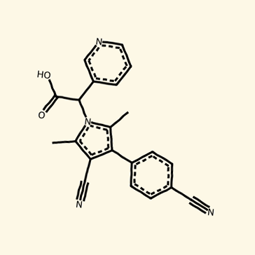 Cc1c(C#N)c(-c2ccc(C#N)cc2)c(C)n1C(C(=O)O)c1cccnc1